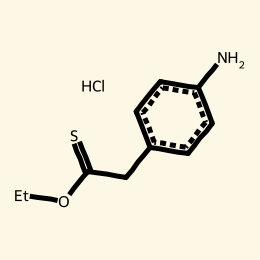 CCOC(=S)Cc1ccc(N)cc1.Cl